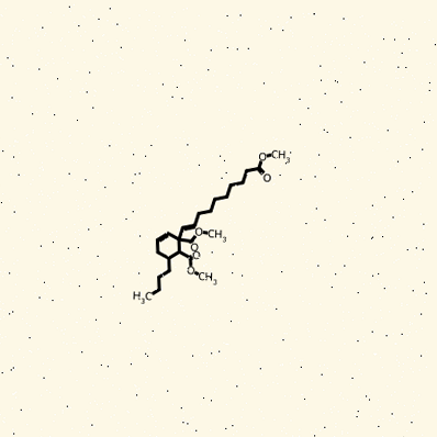 CCCCC1CC=CC(/C=C/CCCCCCCC(=O)OC)(C(=O)OC)C1C(=O)OC